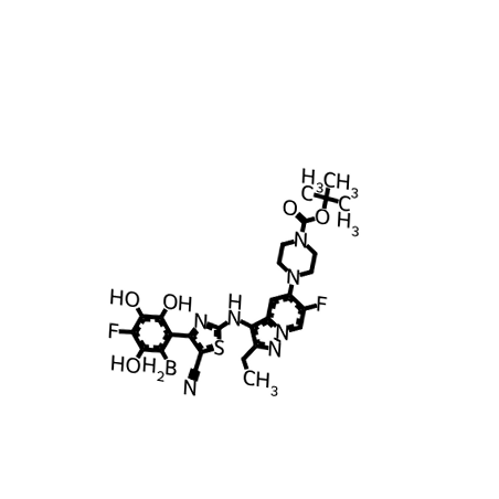 Bc1c(O)c(F)c(O)c(O)c1-c1nc(Nc2c(CC)nn3cc(F)c(N4CCN(C(=O)OC(C)(C)C)CC4)cc23)sc1C#N